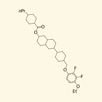 CCCC1CCC(C(=O)OC2CCC3CC(C4CCC(COc5ccc(OCC)c(F)c5F)CC4)CCC3C2)CC1